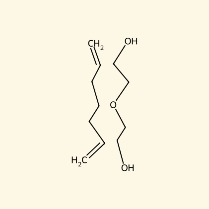 C=CCCCC=C.OCCOCCO